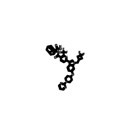 O=C(NC1(C(=O)O)C2CC3CC(C2)CC1C3)c1ccc(-c2cn(CC3CC(F)(F)C3)c3cc(OC4CCN(c5ncccn5)CC4)ccc23)nc1C(F)(F)F